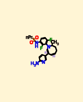 CCCS(=O)(=O)Nc1ccc(F)c(N2/C=C(c3ccc(N)nc3)\C=C/CCC2C)c1F